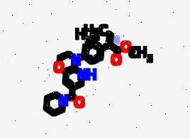 C/C=C(/C(=O)OC)c1ccc(N2CCOC3=C2NCC(C(=O)N2CCCCC2)=C3)cc1C